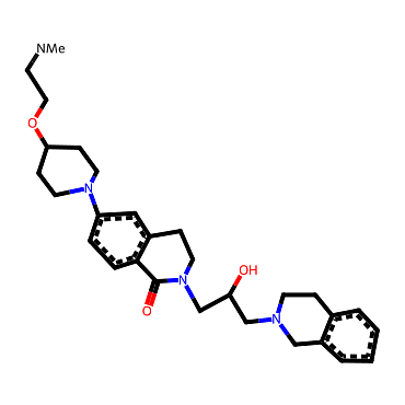 CNCCOC1CCN(c2ccc3c(c2)CCN(CC(O)CN2CCc4ccccc4C2)C3=O)CC1